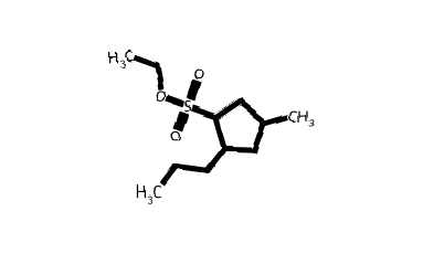 CCCC1CC(C)CC1S(=O)(=O)OCC